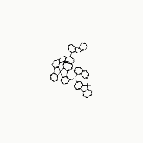 CC1(C)c2ccccc2-c2ccc(N(c3cccc4c3-c3ccc#cc3C43c4ccccc4-c4ccc5oc6c(c5c43)CCC=C6c3cccc4c3oc3ccccc34)c3cccc4ccccc34)cc21